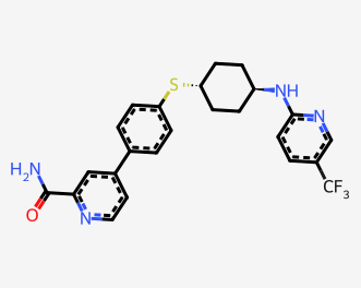 NC(=O)c1cc(-c2ccc(S[C@H]3CC[C@H](Nc4ccc(C(F)(F)F)cn4)CC3)cc2)ccn1